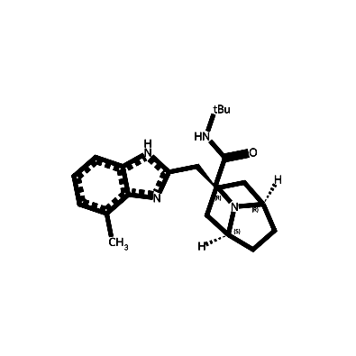 Cc1cccc2[nH]c(C[C@H]3C[C@H]4CC[C@@H](C3)N4CC(=O)NC(C)(C)C)nc12